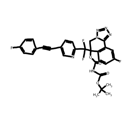 CC(C)(C)OC(=O)NC(=O)OC1(C(F)(F)c2ccc(C#Cc3ccc(F)cc3)cn2)Cn2nnnc2-c2cc(F)ccc21